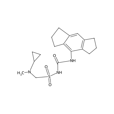 CN(CS(=O)(=O)NC(=O)Nc1c2c(cc3c1CCC3)CCC2)C1CC1